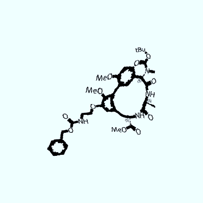 COC(=O)[C@@H]1Cc2cc(OCCNC(=O)OCc3ccccc3)c(OC)c(c2)-c2cc(ccc2OC)[C@H](N(C)C(=O)OC(C)(C)C)C(=O)N[C@@H](C)C(=O)N1